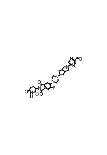 O=Cc1cnc(N2CC3CC(N4CCN(c5cc6c(cc5F)C(=O)N(C5CCC(=O)NC5=O)C6=O)CC4)CC3C2)cn1